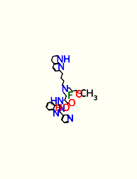 COCC(F)CN(CCCCc1ccc2c(n1)NCCC2)CCC(Nc1nc(-c2cccnc2)nc2ccccc12)C(=O)O